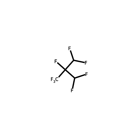 FC(F)C(F)(C(F)F)C(F)(F)F